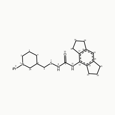 CC(C)N1CCCC(CSNC(=O)Nc2c3c(cc4c2CCC4)CCC3)C1